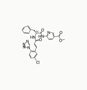 COC(=O)c1ccc(NC(=O)[C@H](Cc2ccccc2)NC(=O)C=Cc2cc(Cl)ccc2-n2cnnn2)nc1